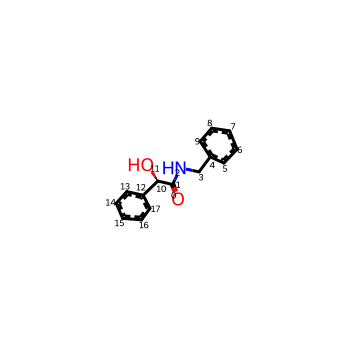 O=C(NCc1ccccc1)[C@H](O)c1ccccc1